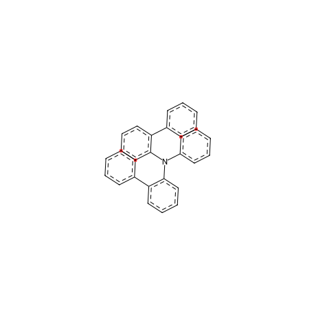 c1ccc(-c2ccccc2N(c2ccccc2)c2ccccc2-c2ccccc2)cc1